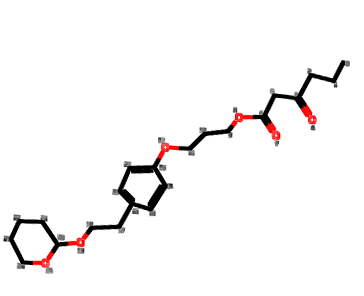 CCCC(=O)CC(=O)OCCCOc1ccc(CCOC2CCCCO2)cc1